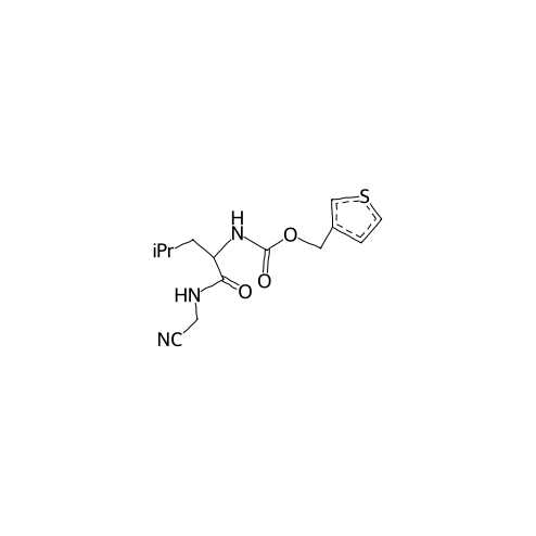 CC(C)CC(NC(=O)OCc1ccsc1)C(=O)NCC#N